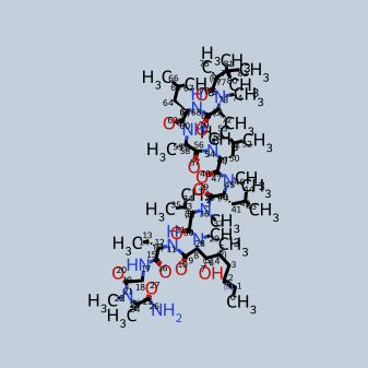 C/C=C/C[C@@H](C)[C@H](O)C(C(=O)N[C@@H](CC)C(=O)NCC(=O)N(C)[C@@H](C)C(N)=O)N(C)C(=O)[C@H](C(C)C)N(C)C(=O)[C@@H](CC(C)C)N(C)C(=O)[C@@H](CC(C)C)N(C)C(=O)[C@H](C)NC(=O)[C@@H](CC(C)C)NC(=O)[C@H](C)N(C)C(=O)[C@H](C)C(C)(C)C